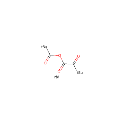 CC(C)(C)C(=O)OC(=O)C(=O)C(C)(C)C.[Pb]